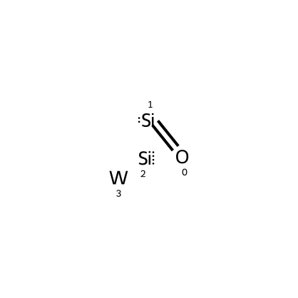 O=[Si].[Si].[W]